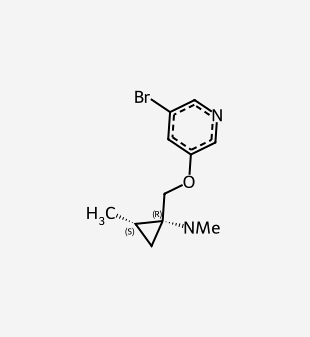 CN[C@]1(COc2cncc(Br)c2)C[C@@H]1C